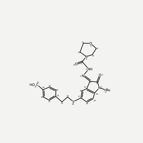 CCCCN1C(=O)C(=NNC(=O)N2CCOCC2)c2cc(SCCc3ccc(C(=O)O)cc3)ccc21